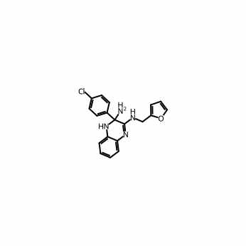 NC1(c2ccc(Cl)cc2)Nc2ccccc2N=C1NCc1ccco1